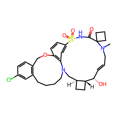 CN1C/C=C/[C@H](O)[C@@H]2CC[C@H]2CN2CCCCc3cc(Cl)ccc3COc3ccc(cc32)S(=O)(=O)NC(=O)C12CCC2